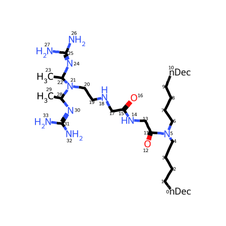 CCCCCCCCCCCCCCN(CCCCCCCCCCCCCC)C(=O)CNC(=O)CNCCN(C(C)N=C(N)N)C(C)N=C(N)N